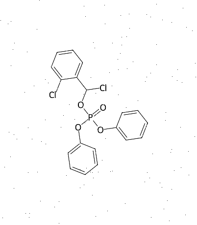 O=P(Oc1ccccc1)(Oc1ccccc1)OC(Cl)c1ccccc1Cl